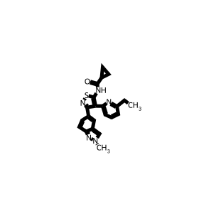 CCc1cccc(-c2c(-c3ccc4nn(C)cc4c3)nsc2NC(=O)C2CC2)n1